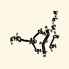 N#CO.O[As](O)O.[K+].[K+].[K+].[K+].[N-]=[N+]=[N-]